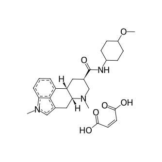 COC1CCC(NC(=O)[C@@H]2C[C@H]3c4cccc5c4c(cn5C)C[C@H]3N(C)C2)CC1.O=C(O)/C=C\C(=O)O